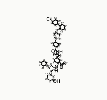 O=C(NS(=O)(=O)c1ccc(N[C@H](CCN2CCC[C@@H](O)C2)CSc2ccccc2)c([N+](=O)[O-])c1)c1ccc(N2CCN(Cc3ccccc3-c3ccc(Cl)cc3)CC2)cc1